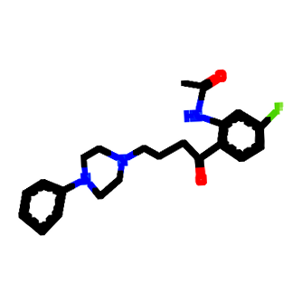 CC(=O)Nc1cc(F)ccc1C(=O)CCCN1CCN(c2ccccc2)CC1